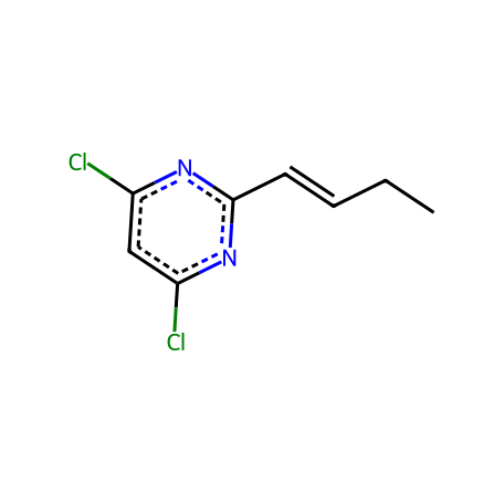 CCC=Cc1nc(Cl)cc(Cl)n1